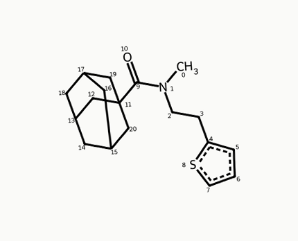 CN(CCc1cccs1)C(=O)C12CC3CC(CC(C3)C1)C2